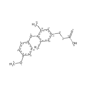 COc1ccc(Oc2c(C)cc(CCC(=O)O)cc2C)cc1